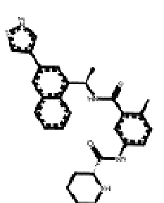 Cc1ccc(NC(=O)[C@H]2CCCCN2)cc1C(=O)N[C@H](C)c1cc(-c2cn[nH]c2)cc2ccccc12